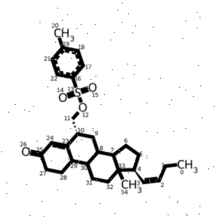 CC/C=C\[C@@H]1CCC2C3C[C@@H](COS(=O)(=O)c4ccc(C)cc4)C4=CC(=O)CCC4C3CCC21C